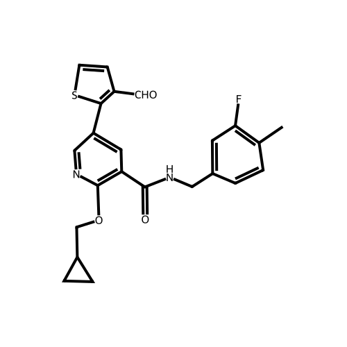 Cc1ccc(CNC(=O)c2cc(-c3sccc3C=O)cnc2OCC2CC2)cc1F